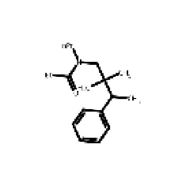 CCCN(CC(C)(C)C(C)c1ccccc1)C(=O)CC